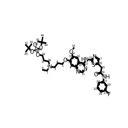 CCN(CCCOc1cc2ncnc(Nc3ncc(CC(=O)Nc4cccc(F)c4)s3)c2cc1OC)CCCOP(=O)(OC(C)(C)C)OC(C)(C)C